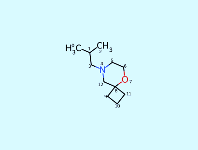 CC(C)CN1CCOC2(CCC2)C1